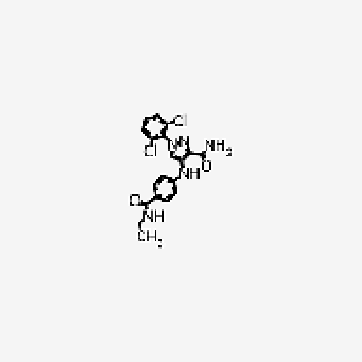 CCNC(=O)c1ccc(Nc2cn(-c3c(Cl)cccc3Cl)nc2C(N)=O)cc1